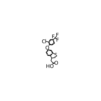 O=C(O)CC1CSc2cc(Oc3ccc(C(F)(F)F)cc3Cl)ccc21